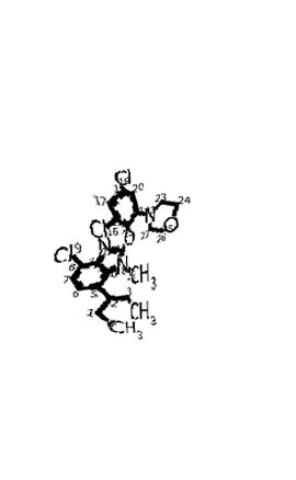 CCC(CC)c1ccc(Cl)c2nc(Oc3c(Cl)cc(Cl)cc3N3CCOCC3)n(C)c12